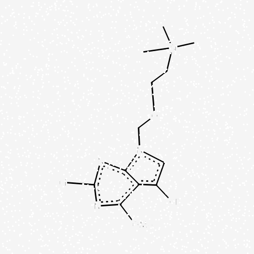 COc1nc(Cl)nc2c1c(C(F)(F)F)cn2COCC[Si](C)(C)C